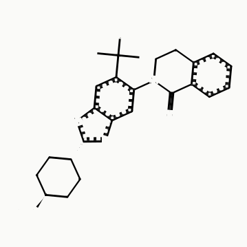 CC(C)(O)c1cc2nc([C@H]3CC[C@H](C=O)CC3)sc2cc1N1CCc2ccccc2C1=O